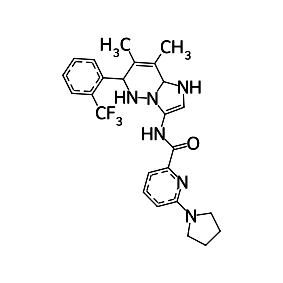 CC1=C(C)C2NC=C(NC(=O)c3cccc(N4CCCC4)n3)N2NC1c1ccccc1C(F)(F)F